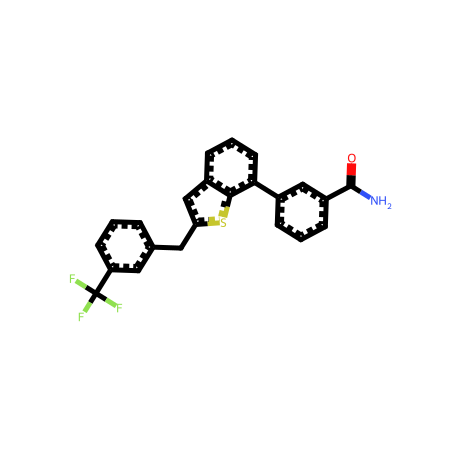 NC(=O)c1cccc(-c2cccc3cc(Cc4cccc(C(F)(F)F)c4)sc23)c1